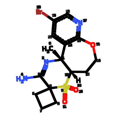 C[C@]12N=C(N)C3(CCC3)S(=O)(=O)[C@@H]1CCOc1ncc(Br)cc12